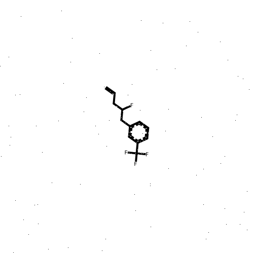 [CH]=CCC(F)Cc1cccc(C(F)(F)F)c1